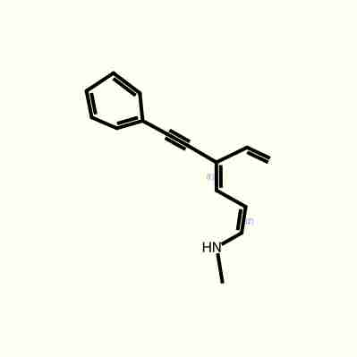 C=C/C(C#Cc1ccccc1)=C\C=C/NC